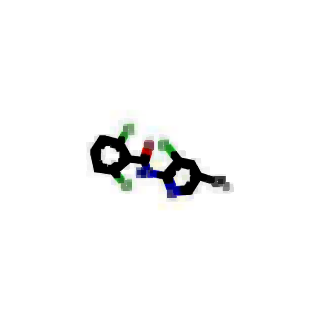 O=C(Nc1ncc(C(F)(F)F)cc1Cl)c1c(Cl)cccc1Cl